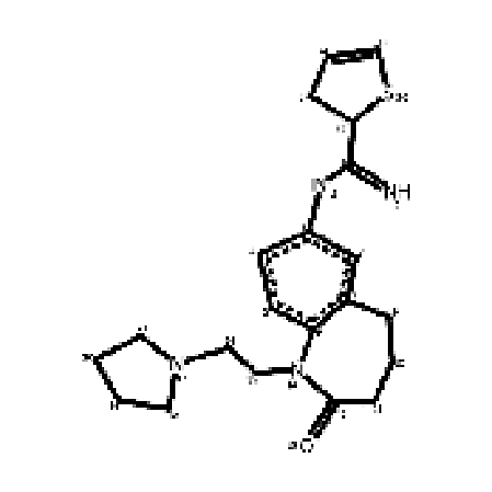 N=C(Nc1ccc2c(c1)CCCC(=O)N2CCN1CCCC1)C1CC=CS1